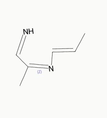 CC=C/N=C(/C)C=N